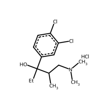 CCC(O)(c1ccc(Cl)c(Cl)c1)C(C)CN(C)C.Cl